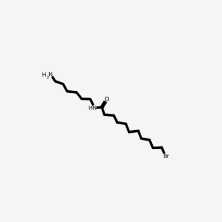 NCCCCCCNC(=O)CCCCCCCCCCBr